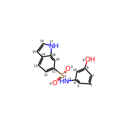 O=S(=O)(Nc1cccc(O)c1)c1ccc2cc[nH]c2c1